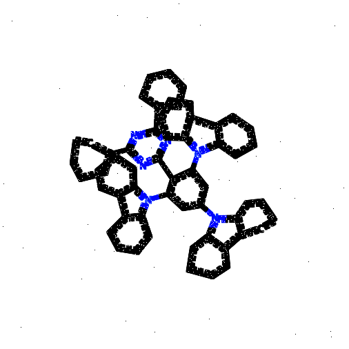 c1ccc(-c2nc(-c3ccccc3)nc(-c3c(-n4c5ccccc5c5ccccc54)cc(-n4c5ccccc5c5ccccc54)cc3-n3c4ccccc4c4ccccc43)n2)cc1